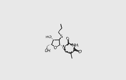 CCCSC1[C@@H](O)[C@@H](CO)O[C@H]1n1cc(C)c(=O)[nH]c1=O